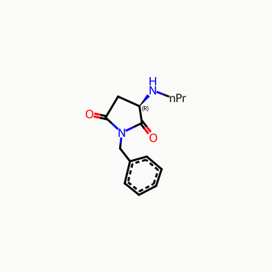 CCCN[C@@H]1CC(=O)N(Cc2ccccc2)C1=O